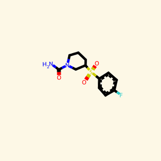 NC(=O)N1CCCC(S(=O)(=O)c2ccc(F)cc2)C1